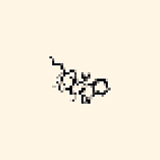 CCCC(=O)ON(C(=O)O)S(=O)(=O)c1ccccc1Br